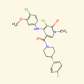 COc1cc(Nc2c(C(=O)N3CCC(c4ccc(F)cc4)CC3)cn(C)c(=O)c2Cl)ccc1Cl